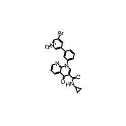 O=C(NC1CC1)c1cn(-c2cccc(-c3cc(Br)c[n+]([O-])c3)c2)c2ncccc2c1=O